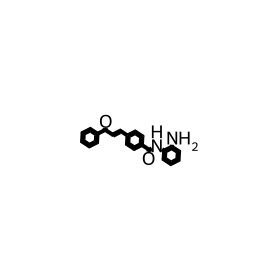 Nc1ccccc1NC(=O)c1ccc(/C=C/C(=O)c2ccccc2)cc1